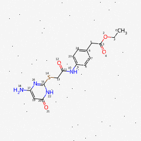 CCOC(=O)Cc1ccc(NC(=O)CSc2nc(N)cc(=O)[nH]2)cc1